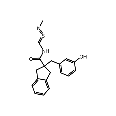 CN=S=CNC(=O)C1(Cc2cccc(O)c2)Cc2ccccc2C1